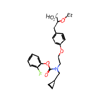 CCOC(Cc1ccc(OCCN(CC2CC2)C(=O)Oc2ccccc2F)cc1)C(=O)O